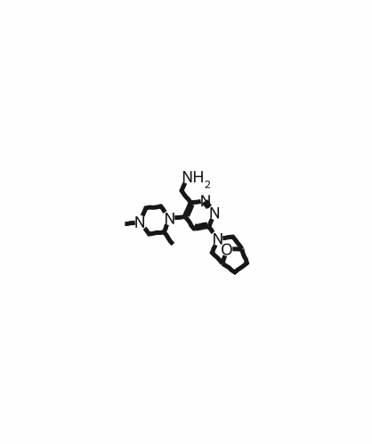 CC1CN(C)CCN1c1cc(N2CC3CCC(C2)O3)nnc1CN